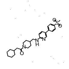 CS(=O)(=O)c1ccc(-c2ccc(NCC3CCN(C(=O)CC4CCCCC4)CC3)nc2)cc1